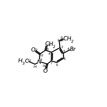 C=Cc1c(Br)ccc2c1C(=C)C(=O)N(CC)C2=O